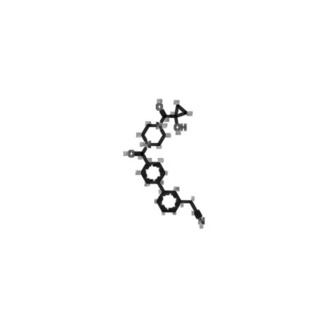 N#CCc1cccc(-c2ccc(C(=O)N3CCN(C(=O)C4(O)CC4)CC3)cc2)c1